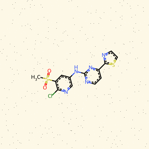 CS(=O)(=O)c1cc(Nc2nccc(-c3nccs3)n2)cnc1Cl